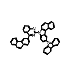 c1ccc2c(c1)ccc1ccc(-c3nc(-n4c5ccc(-n6c7ccccc7c7ccccc76)cc5c5c6ccccc6ccc54)nc4ccccc34)cc12